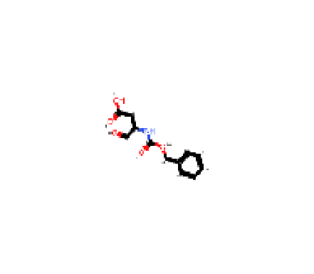 O=[C]C(CC(=O)O)NC(=O)OCc1ccccc1